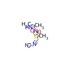 Cc1cc(C)c(CN2CCc3sc(CC4CCN(Cc5ccncc5)CC4)c(C)c3C2=O)c(=O)[nH]1